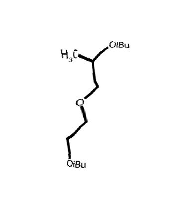 CC(C)COCCOCC(C)OCC(C)C